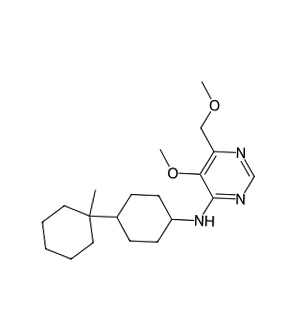 COCc1ncnc(NC2CCC(C3(C)CCCCC3)CC2)c1OC